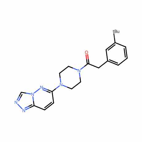 CC(C)(C)c1cccc(CC(=O)N2CCN(c3ccc4nncn4n3)CC2)c1